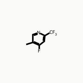 Cc1cnc(C(F)(F)F)cc1F